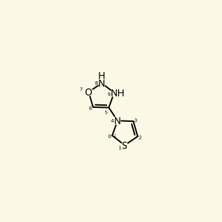 [C]1SC=CN1C1=CONN1